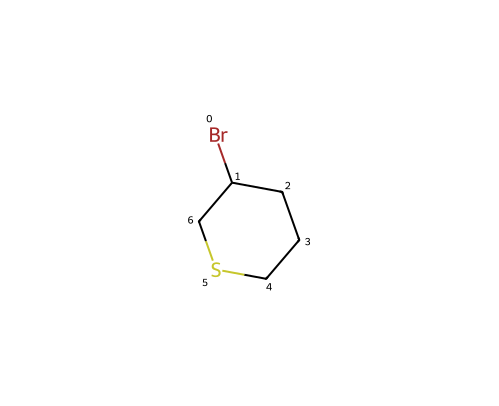 BrC1CCCSC1